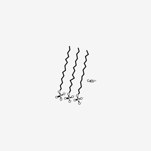 CCCCCCCCCCCCCCOP(=O)([O-])[O-].CCCCCCCCCCCCCCOP(=O)([O-])[O-].CCCCCCCCCCCCCCOP(=O)([O-])[O-].[Ga+3].[Ga+3]